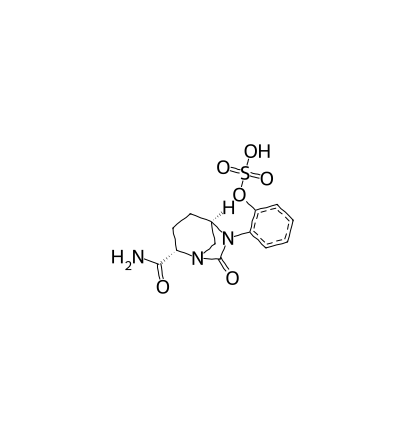 NC(=O)[C@@H]1CC[C@@H]2CN1C(=O)N2c1ccccc1OS(=O)(=O)O